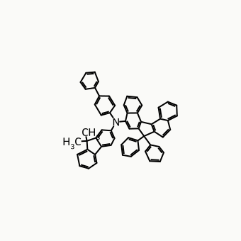 CC1(C)c2ccccc2-c2ccc(N(c3ccc(-c4ccccc4)cc3)c3cc4c(c5ccccc35)-c3c(ccc5ccccc35)C4(c3ccccc3)c3ccccc3)cc21